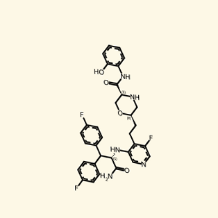 NC(=O)[C@@H](Nc1cncc(F)c1CC[C@@H]1CN[C@H](C(=O)Nc2ccccc2O)CO1)C(c1ccc(F)cc1)c1ccc(F)cc1